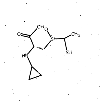 CC(S)[S+]([O-])C[C@H](NC1CC1)C(=O)O